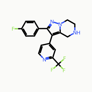 Fc1ccc(-c2nn3c(c2-c2ccnc(C(F)(F)F)c2)CNCC3)cc1